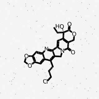 CC[C@@]1(O)C(=O)OCc2c1cc1n(c2=O)Cc2c-1nc1cc3c(cc1c2CCCCl)OCO3